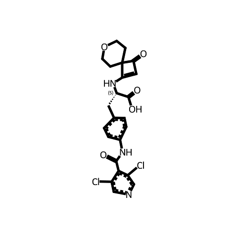 O=C(Nc1ccc(C[C@H](NC2=CC(=O)C23CCOCC3)C(=O)O)cc1)c1c(Cl)cncc1Cl